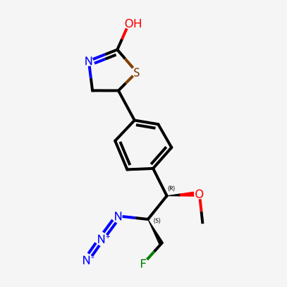 CO[C@H](c1ccc(C2CN=C(O)S2)cc1)[C@@H](CF)N=[N+]=[N-]